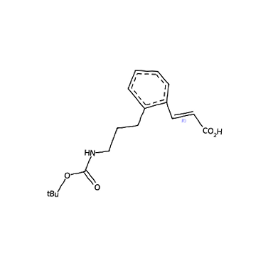 CC(C)(C)OC(=O)NCCCc1ccccc1/C=C/C(=O)O